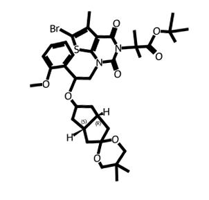 COc1ccccc1C(Cn1c(=O)n(C(C)(C)C(=O)OC(C)(C)C)c(=O)c2c(C)c(Br)sc21)OC1C[C@@H]2CC3(C[C@@H]2C1)OCC(C)(C)CO3